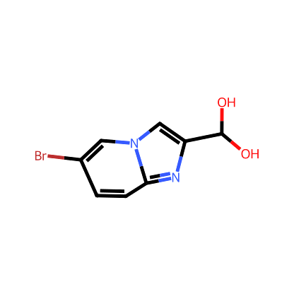 OC(O)c1cn2cc(Br)ccc2n1